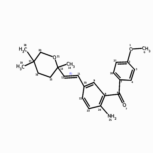 COc1ccc(C(=O)c2cc(/C=C/C3(C)CCC(C)(C)CO3)ccc2N)cc1